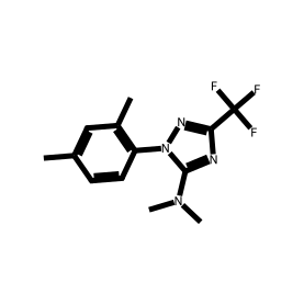 Cc1ccc(-n2nc(C(F)(F)F)nc2N(C)C)c(C)c1